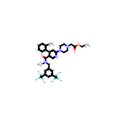 CCOC(=O)CN1CCN(c2cc(-c3ccccc3C)c(C(=O)N(C)Cc3cc(C(F)(F)F)cc(C(F)(F)F)c3)cn2)CC1